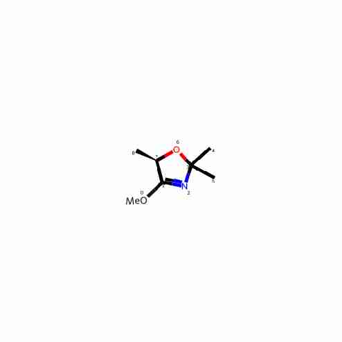 COC1=NC(C)(C)O[C@@H]1C